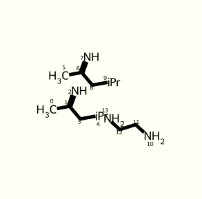 CC(=N)CC(C)C.CC(=N)CC(C)C.NCCN